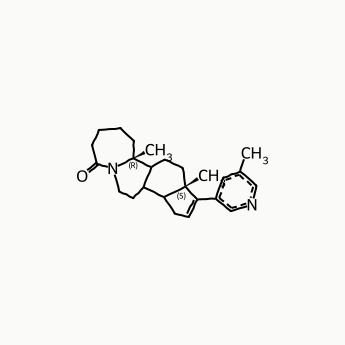 Cc1cncc(C2=CCC3C4CCN5C(=O)CCCC[C@]5(C)C4CC[C@]23C)c1